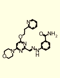 NC(=O)c1cccc(N/N=C/c2nc(OCCc3ccccn3)cc(N3CCOCC3)n2)c1